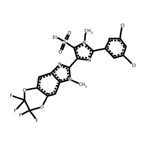 CCS(=O)(=O)c1c(-c2nc3cc4c(cc3n2C)OC(F)(F)C(F)(F)O4)nc(-c2cc(Cl)cc(Cl)c2)n1C